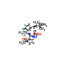 CN=[S@]1(=O)C[C@@](C)(c2cc(C#C[Si](C)(C)C)ccc2F)N=C(NC(=O)O)C12CCCC2